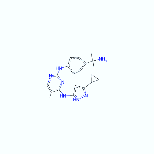 Cc1cnc(Nc2ccc(C(C)(C)N)cc2)nc1Nc1cc(C2CC2)n[nH]1